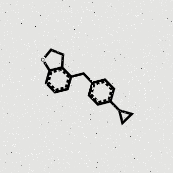 c1cc(Cc2ccc(C3CC3)cc2)c2c(c1)OCC2